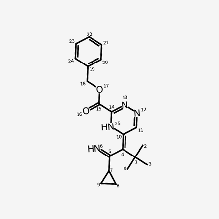 CC(C)(C)/C(C(=N)C1CC1)=C1\C=NN=C(C(=O)OCc2ccccc2)N1